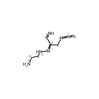 [N-]=[N+]=NC/C(C=N)=N/NCCN